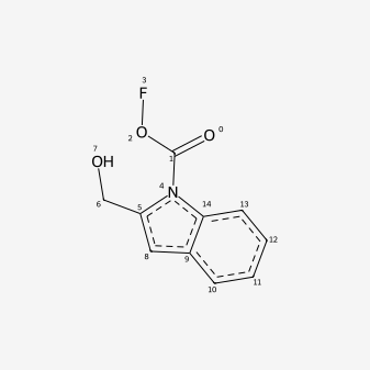 O=C(OF)n1c(CO)cc2ccccc21